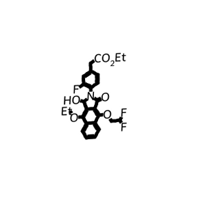 CCOC(=O)Cc1ccc(N2C(=O)c3c(c(OCC)c4ccccc4c3OCC(F)F)C2O)c(F)c1